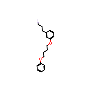 ICCCc1cccc(OCCCCOc2ccccc2)c1